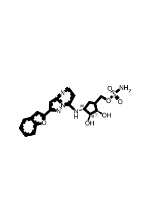 NS(=O)(=O)OCC1C[C@@H](Nc2ccnc3cc(-c4cc5ccccc5o4)nn23)[C@H](O)[C@@H]1O